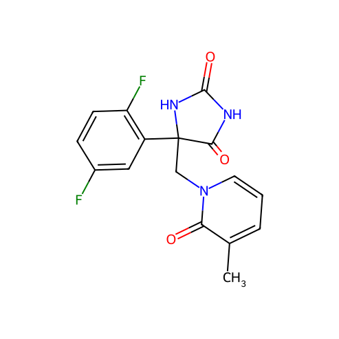 Cc1cccn(CC2(c3cc(F)ccc3F)NC(=O)NC2=O)c1=O